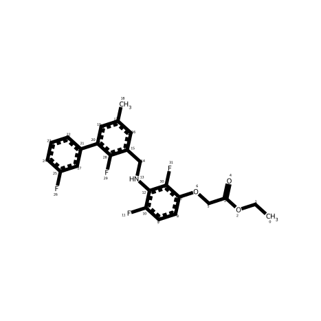 CCOC(=O)COc1ccc(F)c(NCc2cc(C)cc(-c3cccc(F)c3)c2F)c1F